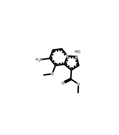 COC(=O)c1cnn2ccc(N)c(OC)c12.Cl